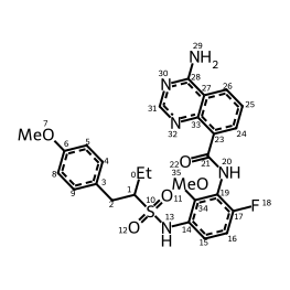 CCC(Cc1ccc(OC)cc1)S(=O)(=O)Nc1ccc(F)c(NC(=O)c2cccc3c(N)ncnc23)c1OC